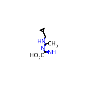 C/C(=N\C(=N)C(=O)O)NCC1CC1